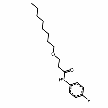 CCCCCCCCOCCC(=O)Nc1ccc(F)cc1